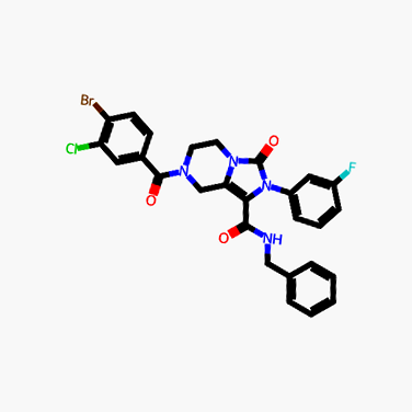 O=C(NCc1ccccc1)c1c2n(c(=O)n1-c1cccc(F)c1)CCN(C(=O)c1ccc(Br)c(Cl)c1)C2